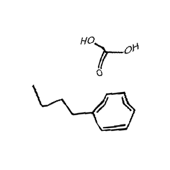 CCCCc1ccccc1.O=C(O)O